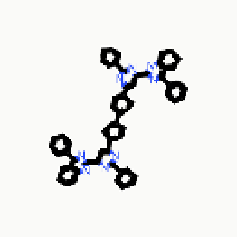 c1ccc(-c2nc(-c3ccc(-c4ccc(-c5cc(-c6nc(-c7ccccc7)c7ccccc7n6)nc(-c6ccccc6)n5)cc4)cc3)cc(-c3nc(-c4ccccc4)c4ccccc4n3)n2)cc1